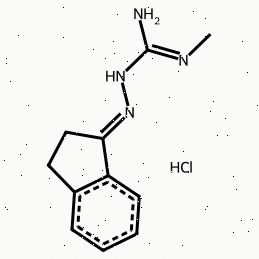 CN=C(N)NN=C1CCc2ccccc21.Cl